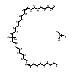 CCCCCCCC/C=C\CCCCCCCCC(C)(C)CCCCCCCC/C=C\CCCCCCCC.CN(C)C